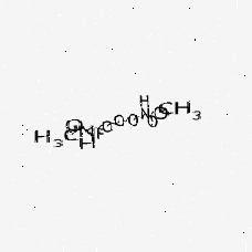 COCC(=O)NCCOCCOCCOCC(F)CNC(C)=O